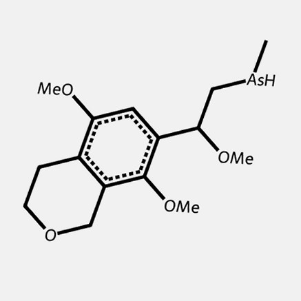 COc1cc(C(C[AsH]C)OC)c(OC)c2c1CCOC2